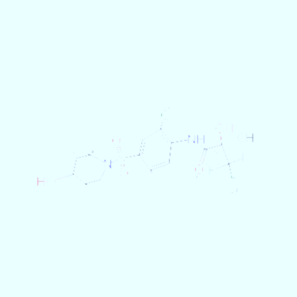 C[C@@](O)(C(=O)Nc1ccc(S(=O)(=O)N2CCC(O)CC2)cc1Cl)C(F)(F)F